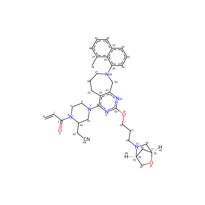 C=CC(=O)N1CCN(c2nc(OCCCN3C[C@@H]4C[C@H]3CO4)nc3c2CCCN(c2cccc4cccc(C)c24)C3)CC1CC#N